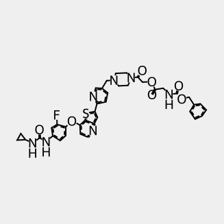 O=C(Nc1ccc(Oc2ccnc3cc(-c4ccc(CN5CCN(C(=O)COC(=O)CNC(=O)OCc6ccccc6)CC5)cn4)sc23)c(F)c1)NC1CC1